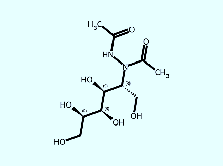 CC(=O)NN(C(C)=O)[C@H](CO)[C@H](O)[C@@H](O)[C@H](O)CO